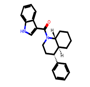 O=C(c1c[nH]c2ccccc12)N1CC[C@@H](c2ccccc2)[C@@H]2CCCC[C@H]21